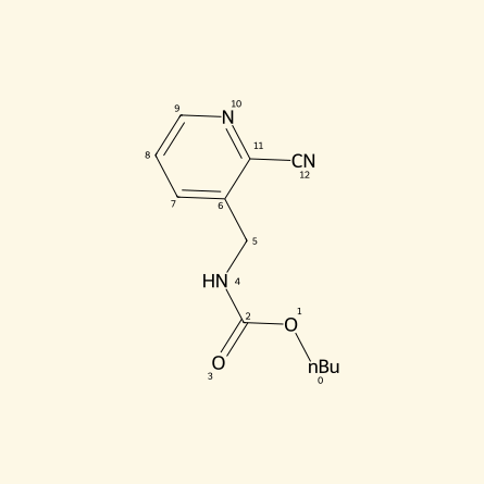 CCCCOC(=O)NCc1cccnc1C#N